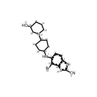 N#Cc1nc2ccc(NC3CCC(N4CCC[C@H](O)C4)CC3)c(Br)c2s1